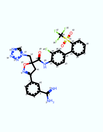 N=C(N)c1cccc(C2=NOC(Cn3cnnn3)(C(=O)Nc3ccc(-c4ccccc4S(=O)(=O)C(F)(F)F)cc3F)C2)c1